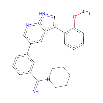 COc1ccccc1-c1c[nH]c2ncc(-c3cccc(C(=N)N4CCCCC4)c3)cc12